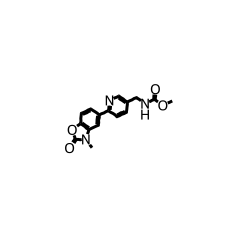 COC(=O)NCc1ccc(-c2ccc3oc(=O)n(C)c3c2)nc1